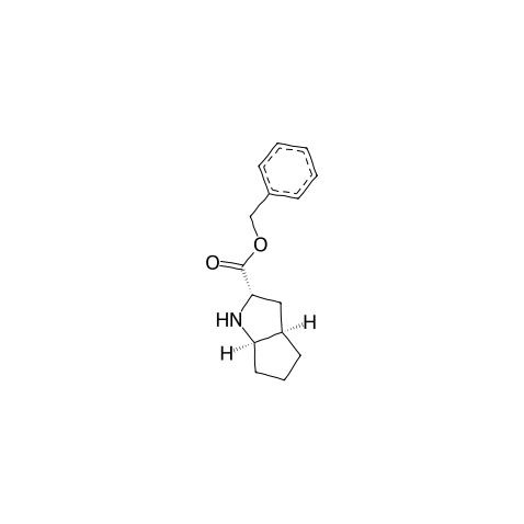 O=C(OCc1ccccc1)[C@@H]1C[C@H]2CCC[C@H]2N1